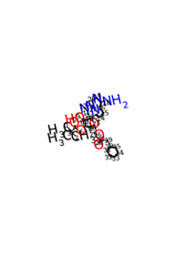 CC(C)(C)C(=O)O[C@H]1[C@@H](O)[C@](C#N)(c2ccc3c(N)ncnn23)O[C@@H]1COC(=O)Cc1ccccc1